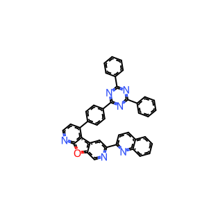 c1ccc(-c2nc(-c3ccccc3)nc(-c3ccc(-c4ccnc5oc6cnc(-c7ccc8ccccc8n7)cc6c45)cc3)n2)cc1